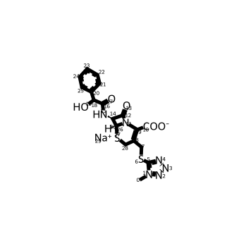 Cn1nnnc1SCC1=C(C(=O)[O-])N2C(=O)[C@@H](NC(=O)C(O)c3ccccc3)[C@@H]2SC1.[Na+]